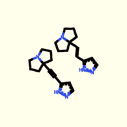 C(#CC12CCCN1CCC2)c1ccn[nH]1.C(=CC12CCCN1CCC2)c1ccn[nH]1